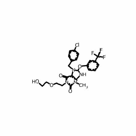 Cn1c2c(c(=O)n(CCOCCO)c1=O)N(Cc1ccc(Cl)cc1)C(Oc1cccc(C(F)(F)F)c1)N2